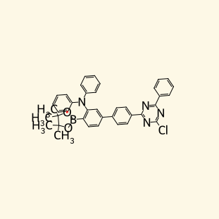 CC1(C)OB(c2ccc(-c3ccc(-c4nc(Cl)nc(-c5ccccc5)n4)cc3)cc2N(c2ccccc2)c2ccccc2)OC1(C)C